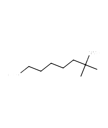 CCCCCCCCCCCC(C)(C)NC